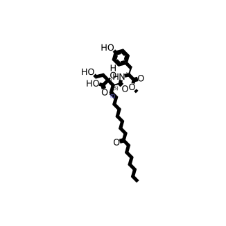 CCCCCCCC(=O)CCCCCC/C=C/[C@H](C(=O)N[C@@H](Cc1ccc(O)cc1)C(=O)OC)[C@@](O)(CCO)C(=O)O